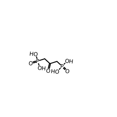 O=C(CP(=O)(O)O)CP(=O)(O)O